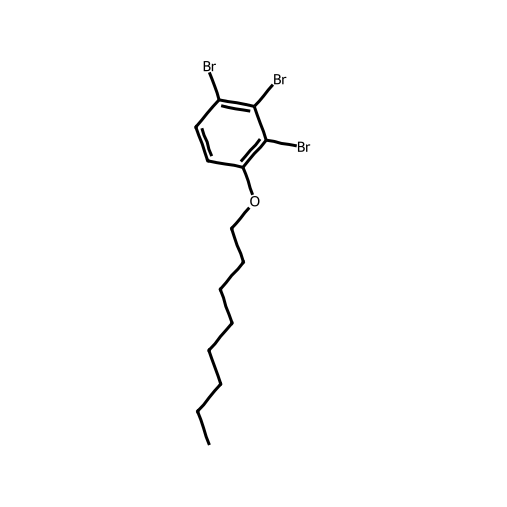 CCCCCCCCOc1ccc(Br)c(Br)c1Br